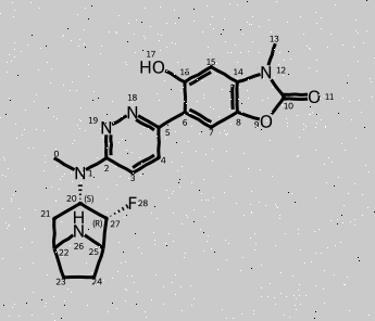 CN(c1ccc(-c2cc3oc(=O)n(C)c3cc2O)nn1)[C@H]1CC2CCC(N2)[C@H]1F